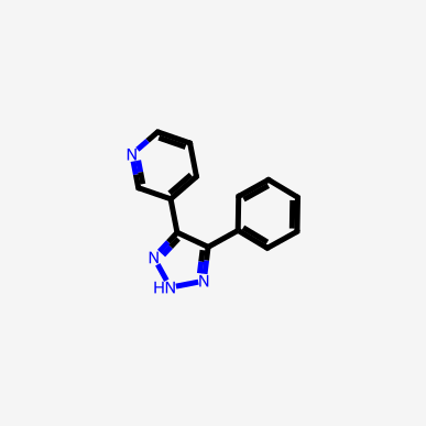 c1ccc(-c2n[nH]nc2-c2cccnc2)cc1